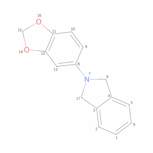 c1ccc2c(c1)CN(c1ccc3c(c1)OCO3)C2